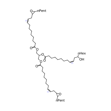 CCCCCCC(O)C/C=C\CCCCCCCC(=O)OC(COC(=O)CCCCCCC/C=C\CC1OC1CCCCC)COC(=O)CCCCCCC/C=C\CC1OC1CCCCC